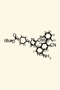 COc1nn(C2CCN(C(=O)OC(C)(C)C)CC2)cc1-c1cnc(N)c2cc(C#N)c(-c3c(C)cccc3F)cc12